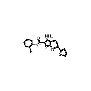 Nc1c(C(=O)Nc2ccccc2Br)sc2nc(-c3cccs3)ccc12